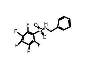 O=S(=O)(NCc1ccccc1)c1c(F)c(F)c(F)c(F)c1F